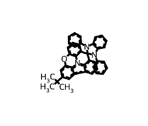 CC(C)(C)c1cc2c3c(c1)c1cccc4c1n3-c1c(cccc1C41N(c3ccccc3)c3ccccc3N1c1ccccc1)O2